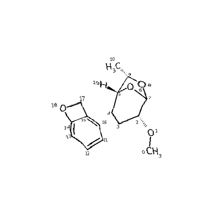 CO[C@@H]1CC[C@H]2OC1O[C@H]2C.c1ccc2c(c1)CO2